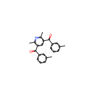 Cc1cccc(C(=O)c2cc(C(=O)c3cccc(C)c3)c(C)nc2C)c1